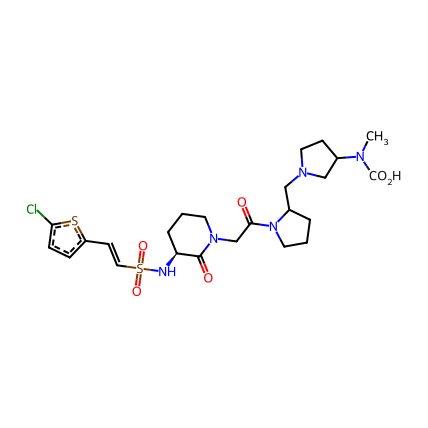 CN(C(=O)O)C1CCN(CC2CCCN2C(=O)CN2CCC[C@H](NS(=O)(=O)C=Cc3ccc(Cl)s3)C2=O)C1